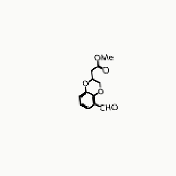 COC(=O)CC1COc2c(C=O)cccc2O1